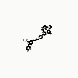 Cn1nc(C2CCC(=O)NC2=O)c2ccc(CCCCN3CCN(c4cccc(-c5cnc6ccc(N7CCC[C@@H]7c7cccc(F)c7)nn56)n4)CC3)cc21